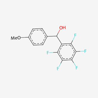 COc1ccc(C(O)c2c(F)c(F)c(F)c(F)c2F)cc1